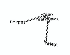 CCCCCCCOCCCCCCCCCCOC(CCCCCC)(CCCCCC)OC(CCCCCC)(CCCCCC)OCCCCCCCCCCOCCCCCCC